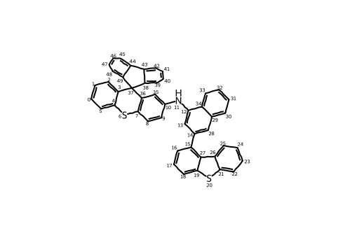 c1ccc2c(c1)Sc1ccc(Nc3cc(-c4cccc5sc6ccccc6c45)cc4ccccc34)cc1C21c2ccccc2-c2ccccc21